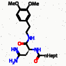 CCCCCCCC(=O)N[C@H](CC(=N)N)C(=O)NCCc1ccc(OC)c(OC)c1